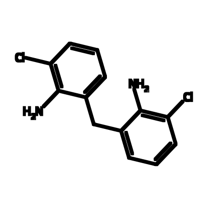 Nc1c(Cl)cccc1Cc1cccc(Cl)c1N